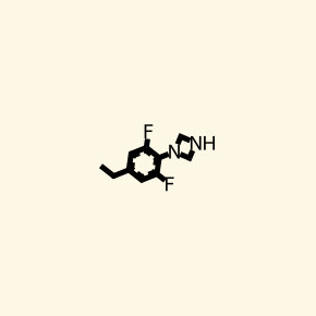 CCc1cc(F)c(N2CNC2)c(F)c1